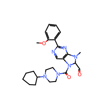 COc1ccccc1-c1ncc2c(n1)N(C)C(C=O)N2C(=O)N1CCN(C2CCCCC2)CC1